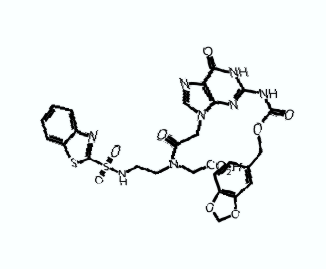 O=C(O)CN(CCNS(=O)(=O)c1nc2ccccc2s1)C(=O)Cn1cnc2c(=O)[nH]c(NC(=O)OCc3ccc4c(c3)OCO4)nc21